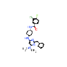 CN(C)c1cc(N[C@H]2CC[C@@H](NC(=O)c3ccc(F)c(Cl)c3)CC2)nc(Cc2ccccc2)n1